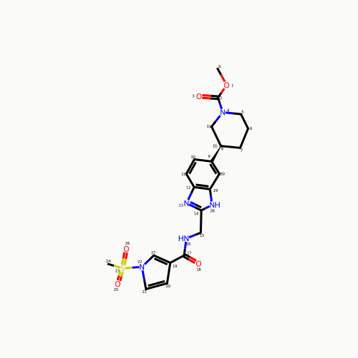 COC(=O)N1CCC[C@@H](c2ccc3nc(CNC(=O)c4ccn(S(C)(=O)=O)c4)[nH]c3c2)C1